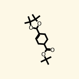 CC(C)(C)OC(=O)C1CC=C(C2OC(C)(C)C(C)(C)O2)CC1